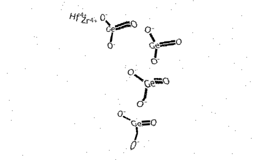 [Hf+4].[O]=[Ge]([O-])[O-].[O]=[Ge]([O-])[O-].[O]=[Ge]([O-])[O-].[O]=[Ge]([O-])[O-].[Zr+4]